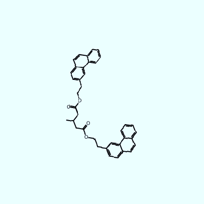 CC(CC(=O)OCCc1ccc2ccc3ccccc3c2c1)CC(=O)OCCc1ccc2ccc3ccccc3c2c1